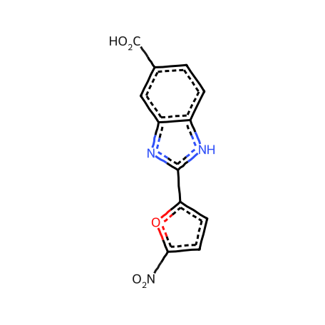 O=C(O)c1ccc2[nH]c(-c3ccc([N+](=O)[O-])o3)nc2c1